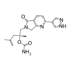 C=C(C)C[C@](C)(CN1Cc2nc(-c3cn[nH]c3)ccc2C1=O)OC(N)=O